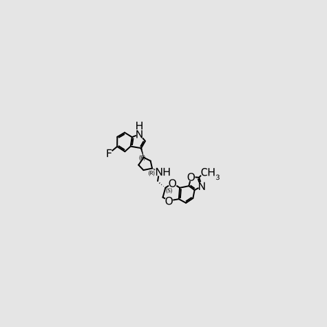 Cc1nc2ccc3c(c2o1)O[C@@H](CN[C@@H]1CC[C@@H](c2c[nH]c4ccc(F)cc24)C1)CO3